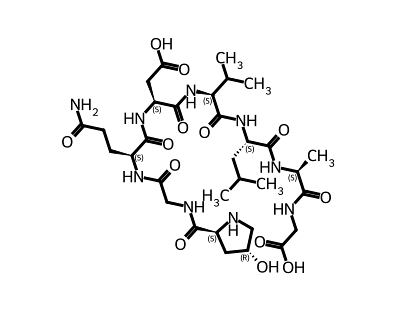 CC(C)C[C@H](NC(=O)[C@@H](NC(=O)[C@H](CC(=O)O)NC(=O)[C@H](CCC(N)=O)NC(=O)CNC(=O)[C@@H]1C[C@@H](O)CN1)C(C)C)C(=O)N[C@@H](C)C(=O)NCC(=O)O